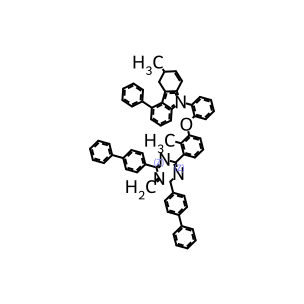 C=N/C(=N\C(=N/Cc1ccc(-c2ccccc2)cc1)c1cccc(Oc2ccccc2-n2c3c(c4c(-c5ccccc5)cccc42)CC(C)C=C3)c1C)c1ccc(-c2ccccc2)cc1